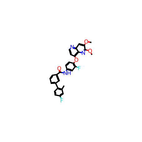 COc1cc2nccc(Oc3ccc(NC(=O)c4cccc(-c5ccc(F)cc5C)c4)cc3F)c2nc1OC